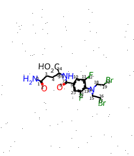 NC(=O)CC[C@H](NC(=O)c1cc(F)c(N(CCBr)CCBr)c(F)c1)C(=O)O